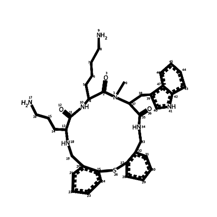 CN1C(=O)C(CCCCN)NC(=O)C(CCCN)NCc2ccccc2Sc2ccccc2CNC(=O)C1Cc1c[nH]c2ccccc12